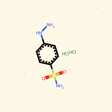 Cl.Cl.NNc1ccc(S(N)(=O)=O)cc1